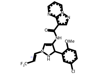 COc1ccc(Cl)cc1C1NN(/C=C/C(F)(F)F)C=C1NC(=O)c1cnn2cccnc12